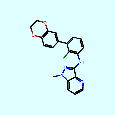 Cn1nc(Nc2cccc(-c3ccc4c(c3)OCCO4)c2Cl)c2ncccc21